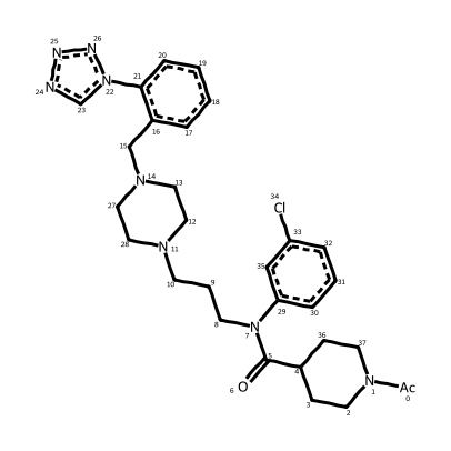 CC(=O)N1CCC(C(=O)N(CCCN2CCN(Cc3ccccc3-n3cnnn3)CC2)c2cccc(Cl)c2)CC1